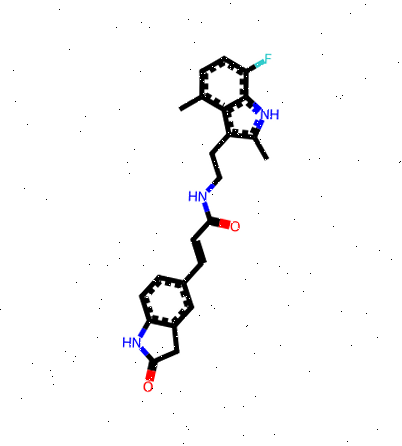 Cc1[nH]c2c(F)ccc(C)c2c1CCNC(=O)C=Cc1ccc2c(c1)CC(=O)N2